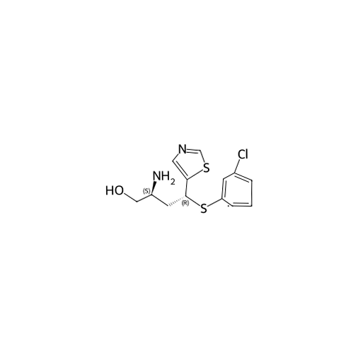 N[C@H](CO)C[C@@H](Sc1[c]ccc(Cl)c1)c1cncs1